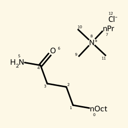 CCCCCCCCCCCC(N)=O.CCC[N+](C)(C)C.[Cl-]